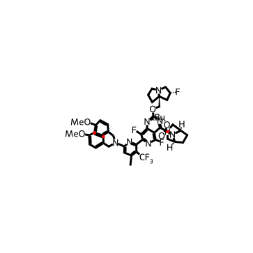 COc1ccc(CN(Cc2ccc(OC)cc2)c2cc(C)c(C(F)(F)F)c(-c3nc(F)c4c(N5C[C@H]6CC[C@@H](C5)N6C(=O)OC(C)(C)C)nc(OC[C@@]56CCCN5C[C@H](F)C6)nc4c3F)n2)cc1